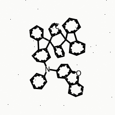 c1ccc(N(c2ccc3c(c2)C2(c4ccccc4-3)c3ccccc3C3(c4ccccc4-c4ccccc43)c3ccccc32)c2ccc3oc4ccccc4c3c2)cc1